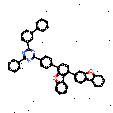 c1ccc(-c2cccc(-c3nc(-c4ccccc4)nc(-c4ccc(-c5ccc(-c6ccc7c(c6)oc6ccccc67)c6c5oc5ccccc56)cc4)n3)c2)cc1